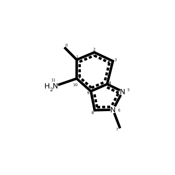 Cc1ccc2nn(C)cc2c1N